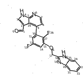 O=Cc1c[nH]c2nccc(-c3cc(F)cc(OCc4nc5ccccc5[nH]4)c3F)c12